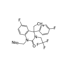 CCC1(c2ccc(F)cc2)c2cc(F)ccc2N(CC#N)C(=O)N1CC(F)(F)F